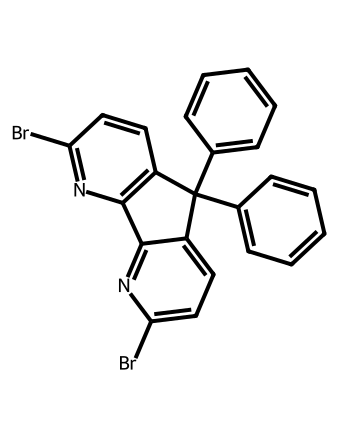 Brc1ccc2c(n1)-c1nc(Br)ccc1C2(c1ccccc1)c1ccccc1